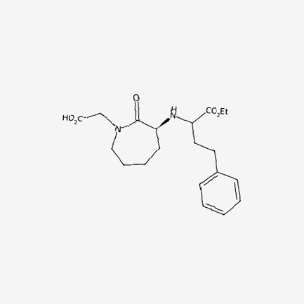 CCOC(=O)C(CCc1ccccc1)N[C@H]1CCCCN(CC(=O)O)C1=O